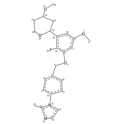 COc1cc(OCc2ccc(-n3ccnc3C)cc2)c(F)c(C2CC(OC)CCO2)c1